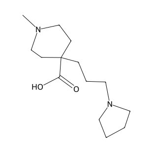 CN1CCC(CCCN2CCCC2)(C(=O)O)CC1